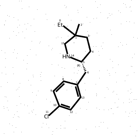 [CH2]CC1(C)CC[C@H](Cc2ccc(Cl)cc2)NC1